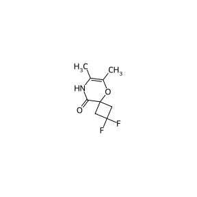 CC1=C(C)OC2(CC(F)(F)C2)C(=O)N1